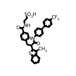 Cc1c(C(Cc2ccc(C(=O)NCCS(=O)(=O)O)cc2)C(=O)Nc2ccc(-c3ccc(C(F)(F)F)cc3)cc2)sc2ccccc12